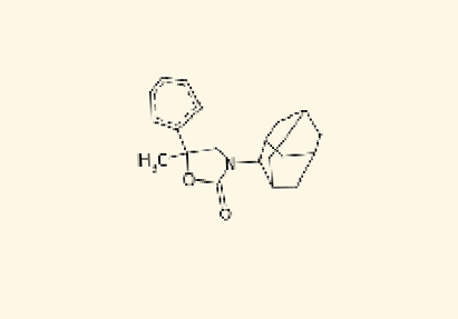 CC1(c2ccccc2)CN(C2C3CC4CC(C3)CC2C4)C(=O)O1